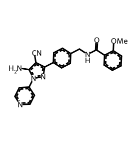 COc1ccccc1C(=O)NCc1ccc(-c2nn(-c3ccncc3)c(N)c2C#N)cc1